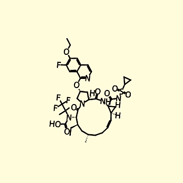 CCOc1cc2ccnc(O[C@@H]3C[C@H]4C(=O)N[C@]5(C(=O)NS(=O)(=O)C6CC6)C[C@H]5C=CCC[C@H](C)C[C@@H](CC)[C@H](N(C(=O)O)C(C)(C)C(F)(F)F)C(=O)N4C3)c2cc1F